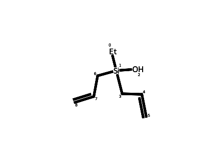 [CH2]C[Si](O)(CC=C)CC=C